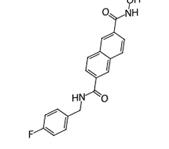 O=C(NO)c1ccc2cc(C(=O)NCc3ccc(F)cc3)ccc2c1